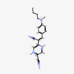 CCCCN(C)c1ccc(/C=C(\C#N)c2cnc(C#N)cn2)cc1